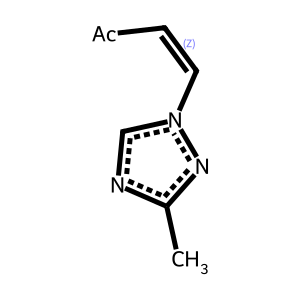 CC(=O)/C=C\n1cnc(C)n1